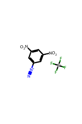 F[B-](F)(F)F.N#[N+]c1cc([N+](=O)[O-])cc([N+](=O)[O-])c1